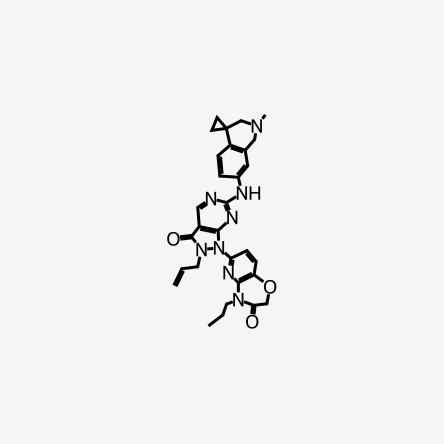 C=CCn1c(=O)c2cnc(Nc3ccc4c(c3)CN(C)CC43CC3)nc2n1-c1ccc2c(n1)N(CCC)C(=O)CO2